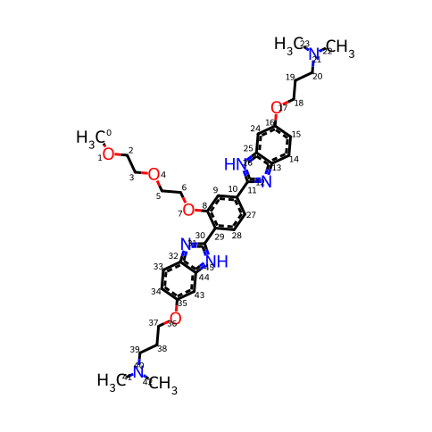 COCCOCCOc1cc(-c2nc3ccc(OCCCN(C)C)cc3[nH]2)ccc1-c1nc2ccc(OCCCN(C)C)cc2[nH]1